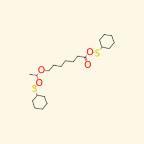 CC(OCCCCCCC(=O)OSC1CCCCC1)OSC1CCCCC1